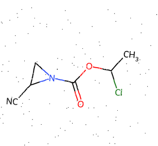 CC(Cl)OC(=O)N1CC1C#N